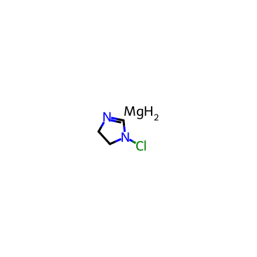 ClN1C=NCC1.[MgH2]